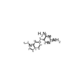 CCn1ccc2[c]cc(Cc3cnc(N)nc3N)cc21